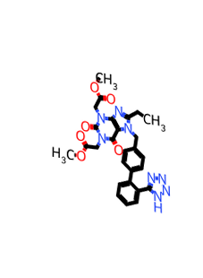 CCc1nc2c(c(=O)n(CC(=O)OC)c(=O)n2CC(=O)OC)n1Cc1ccc(-c2ccccc2-c2nnn[nH]2)cc1